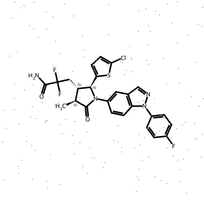 C[C@@H]1C(=O)N(c2ccc3c(cnn3-c3ccc(F)cc3)c2)[C@H](c2ccc(Cl)s2)[C@H]1CC(F)(F)C(N)=O